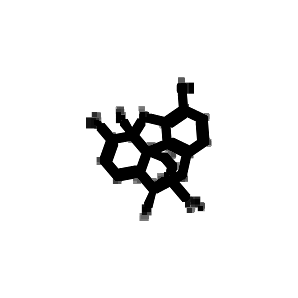 Oc1ccc2c3c1O[C@H]1C(S)=CC=C4[C@@H](C2)N(P)CC[C@]431